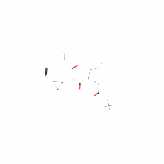 C=C[C@@H]1C[C@H]1N(C(=O)OCC)C(=O)[C@@H]1C[C@@H](O)CN1C(=O)OC(C)(C)C